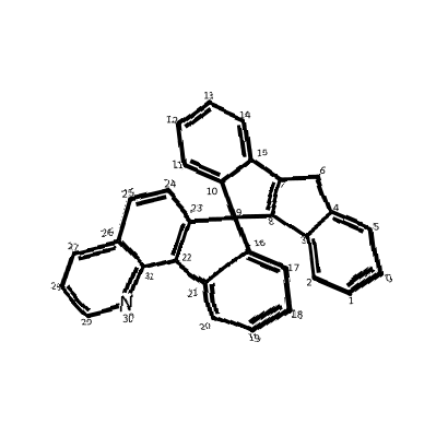 c1ccc2c(c1)CC1=C2C2(c3ccccc31)c1ccccc1-c1c2ccc2cccnc12